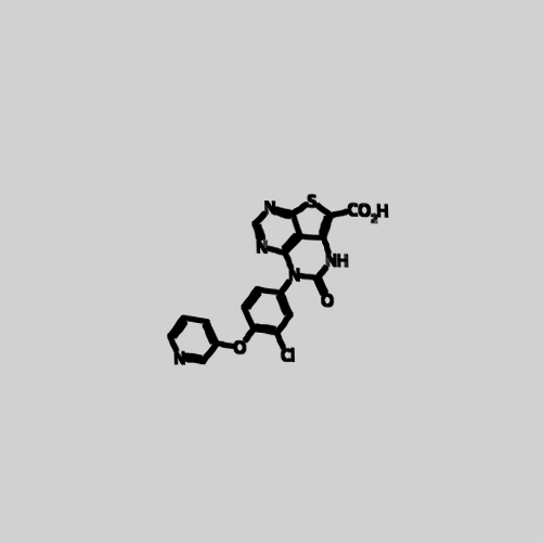 O=C(O)c1sc2ncnc3c2c1NC(=O)N3c1ccc(Oc2cccnc2)c(Cl)c1